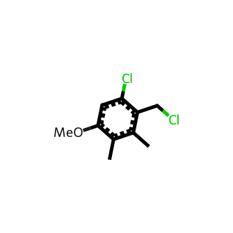 COc1cc(Cl)c(CCl)c(C)c1C